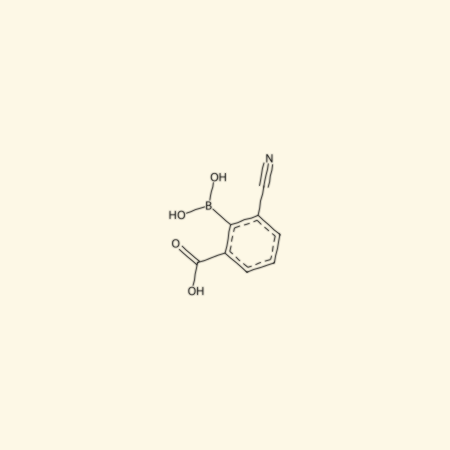 N#Cc1cccc(C(=O)O)c1B(O)O